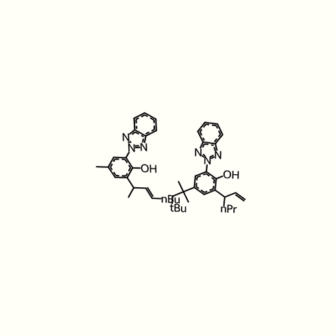 C=CC(CCC)c1cc(C(C)(C)CC(C)(C)C)cc(-n2nc3ccccc3n2)c1O.CCCCC=CC(C)c1cc(C)cc(-n2nc3ccccc3n2)c1O